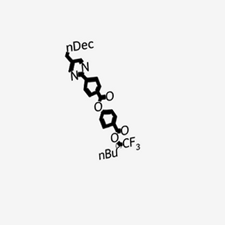 CCCCCCCCCCCc1cnc(-c2ccc(C(=O)Oc3ccc(C(=O)O[C@@H](CCCC)C(F)(F)F)cc3)cc2)nc1